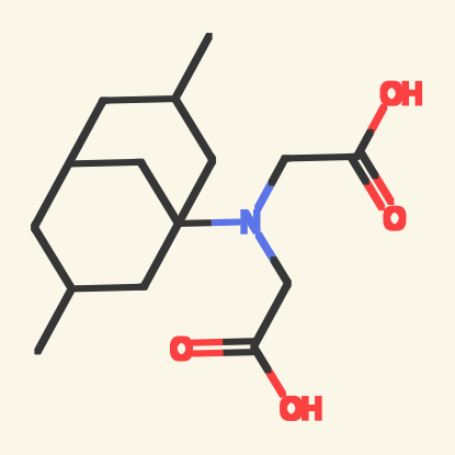 CC1CC2CC(C)CC(N(CC(=O)O)CC(=O)O)(C1)C2